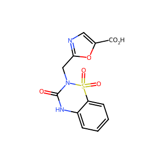 O=C(O)c1cnc(CN2C(=O)Nc3ccccc3S2(=O)=O)o1